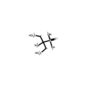 NC(CC(=O)O)(CC(=O)O)P(=O)(O)O